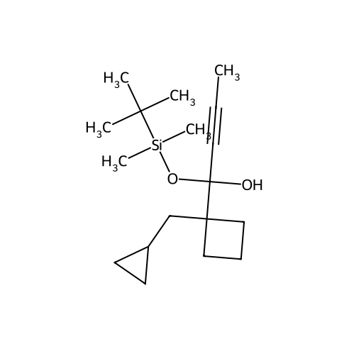 CC#CC(O)(O[Si](C)(C)C(C)(C)C)C1(CC2CC2)CCC1